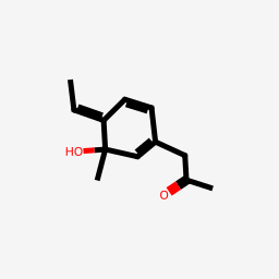 CC=C1C=CC(CC(C)=O)=CC1(C)O